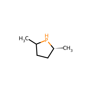 CC1CC[C@@H](C)P1